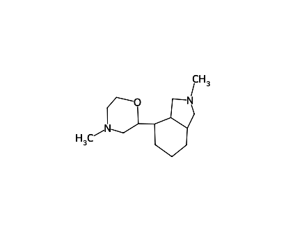 CN1CCOC(C2CCCC3CN(C)CC32)C1